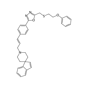 C1=CC2(CCN(C/C=C/c3ccc(-c4nnc(CSCCOc5ccccc5)o4)cc3)CC2)c2ccccc21